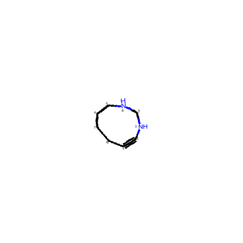 C1#CNCNCCCC1